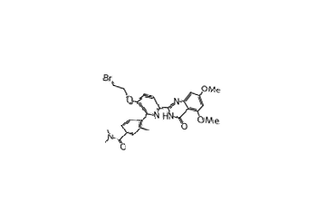 COc1cc(OC)c2c(=O)[nH]c(-c3ccc(OCCBr)c(-c4ccc(C(=O)N(C)C)cc4C)n3)nc2c1